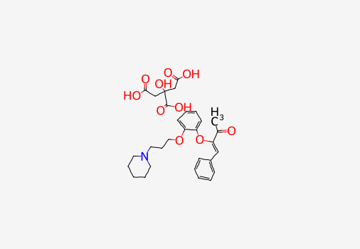 CC(=O)C(=Cc1ccccc1)Oc1ccccc1OCCCN1CCCCC1.O=C(O)CC(O)(CC(=O)O)C(=O)O